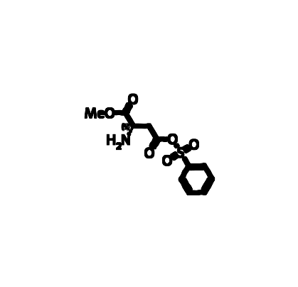 COC(=O)[C@@H](N)CC(=O)OS(=O)(=O)c1ccccc1